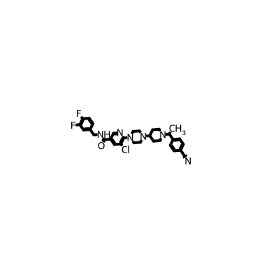 CC(c1ccc(C#N)cc1)N1CCC(N2CCN(c3ncc(C(=O)NCc4ccc(F)c(F)c4)cc3Cl)CC2)CC1